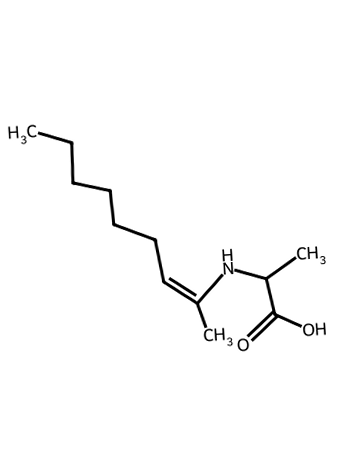 CCCCCCC=C(C)NC(C)C(=O)O